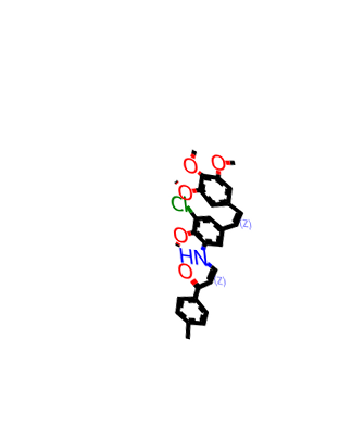 COc1cc(/C=C\c2cc(Cl)c(OC)c(N/C=C\C(=O)c3ccc(C)cc3)c2)cc(OC)c1OC